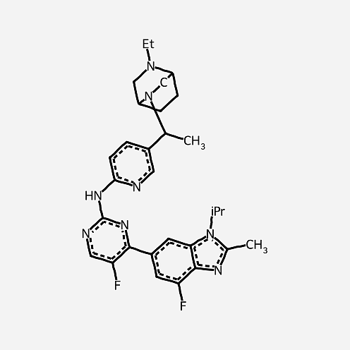 CCN1CC2CCC1CN2C(C)c1ccc(Nc2ncc(F)c(-c3cc(F)c4nc(C)n(C(C)C)c4c3)n2)nc1